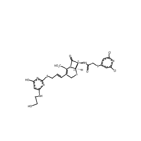 O=C(CSc1cc(Cl)nc(Cl)c1)N[C@@H]1C(=O)N2C(C(=O)O)=C(C=CCSc3nc(O)cc(NCCO)n3)CS[C@H]12